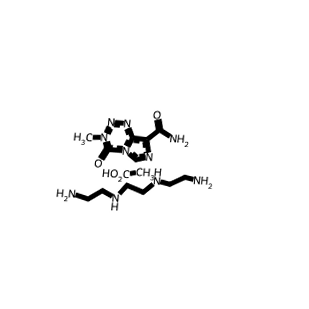 CC(=O)O.Cn1nnc2c(C(N)=O)ncn2c1=O.NCCNCCNCCN